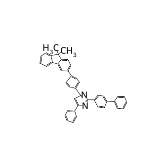 CC1(C)c2ccccc2-c2cc(-c3ccc(-c4cc(-c5ccccc5)nc(-c5ccc(-c6ccccc6)cc5)n4)cc3)ccc21